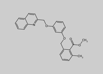 COC(=O)c1c(C)cccc1COc1cccc(OCc2ccc3ccccc3n2)c1